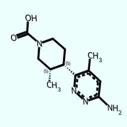 Cc1cc(N)nnc1[C@H]1CCN(C(=O)O)C[C@H]1C